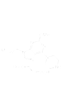 CCOCn1cnc2c(N3CCNCC3)nc(OC)nc21.O=C(O)C=CC(=O)O